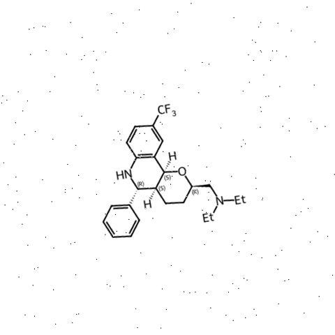 CCN(CC)C[C@H]1CC[C@@H]2[C@H](O1)c1cc(C(F)(F)F)ccc1N[C@H]2c1ccccc1